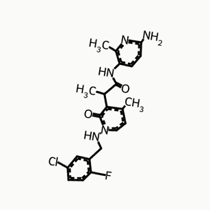 Cc1ccn(NCc2cc(Cl)ccc2F)c(=O)c1C(C)C(=O)Nc1ccc(N)nc1C